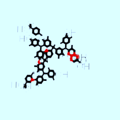 Cc1cc(C(c2cc(C)c(O)cc2C)c2cc(C(C)(C)c3ccc(C(C)(c4cc(C)c(OCc5ccc(C(=O)O)cc5)c(C(c5cc(C)c(O)cc5C)c5cc(C)c(O)cc5C)c4)c4cc(C)c(OCc5ccc(C(=O)O)cc5)c(C(c5cc(C)c(O)cc5C)c5cc(C)c(O)cc5C)c4)cc3)cc(C)c2OCc2ccc(C(=O)O)cc2)c(C)cc1O